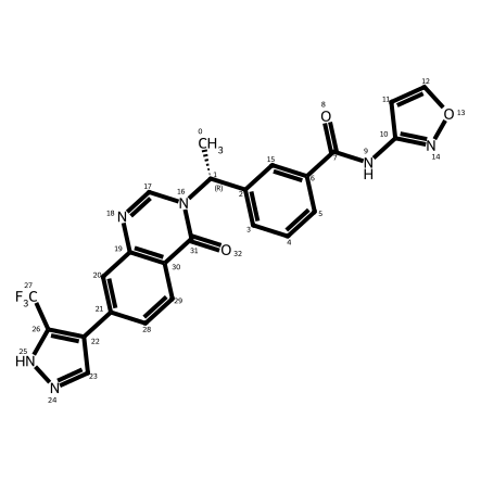 C[C@H](c1cccc(C(=O)Nc2ccon2)c1)n1cnc2cc(-c3cn[nH]c3C(F)(F)F)ccc2c1=O